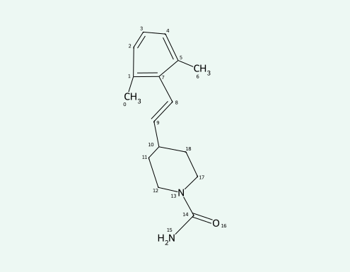 Cc1cccc(C)c1/C=C/C1CCN(C(N)=O)CC1